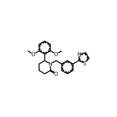 COc1cccc(OC)c1C1CCCC(=O)N1Cc1cccc(-c2nccs2)c1